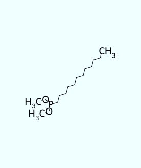 CCCCCCCCCCCCP(OC)OC